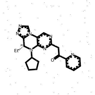 CC[C@@H]1c2nncn2-c2cnc(CC(=O)c3ccccn3)nc2N1C1CCCC1